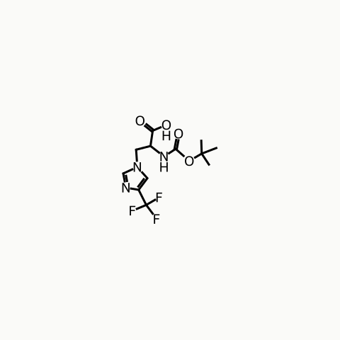 CC(C)(C)OC(=O)NC(Cn1cnc(C(F)(F)F)c1)C(=O)O